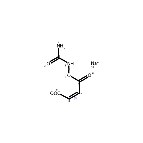 NC(=O)NOC(=O)/C=C\C(=O)[O-].[Na+]